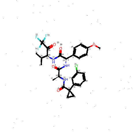 COc1ccc([C@H](NC(=O)[C@H](C)NC(=O)C2(c3cccc(Cl)c3)CC2)C(=O)N[C@H](C(=O)C(F)(F)F)C(C)C)cc1